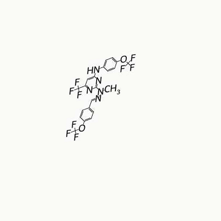 CN(/N=C/c1ccc(OC(F)(F)F)cc1)c1nc(Nc2ccc(OC(F)(F)F)cc2)cc(C(F)(F)F)n1